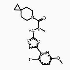 COc1ccc(Cl)c(-c2nnc(N[C@H](C)C(=O)N3CCC4(CC3)CC4)o2)n1